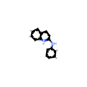 [c]1ccc(Nc2ccc3ccccc3n2)cc1